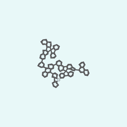 c1cc(-c2ccc3cc4c(cc3c2)C2(c3ccccc3-c3ccccc32)c2ccc3ccccc3c2-4)cc(-c2c3ccccc3c(-c3ccc4oc5ccccc5c4c3)c3cc(-c4cccc5c6c(ccc45)C4(c5ccccc5-c5ccccc54)c4c-6ccc5cc(-c6cc7ccccc7c7ccccc67)ccc45)ccc23)c1